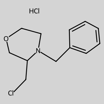 Cl.ClCC1COCCN1Cc1ccccc1